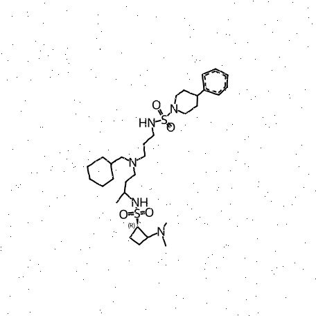 CC(CCN(CCCNS(=O)(=O)N1CCC(c2ccccc2)CC1)CC1CCCCC1)NS(=O)(=O)[C@@H]1CCC1N(C)C